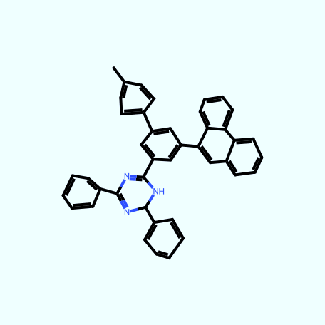 Cc1ccc(-c2cc(C3=NC(c4ccccc4)=NC(c4ccccc4)N3)cc(-c3cc4ccccc4c4ccccc34)c2)cc1